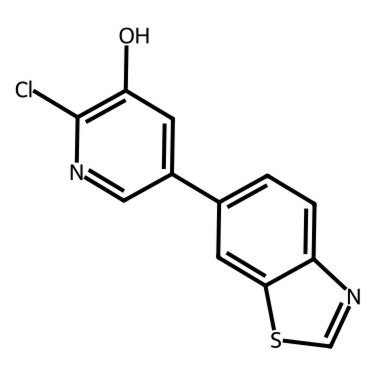 Oc1cc(-c2ccc3ncsc3c2)cnc1Cl